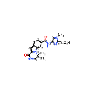 Cn1cc(NC(=O)c2ccc3cc4n(c3c2)C(C)(C)CNC4=O)nc1C(=O)O